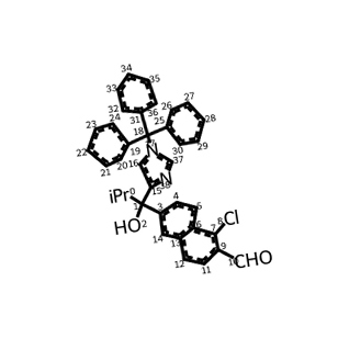 CC(C)C(O)(c1ccc2c(Cl)c(C=O)ccc2c1)c1cn(C(c2ccccc2)(c2ccccc2)c2ccccc2)cn1